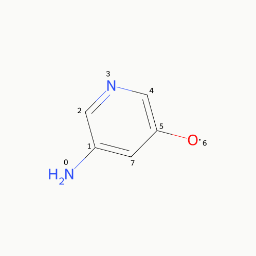 Nc1cncc([O])c1